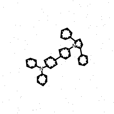 c1ccc(-c2ccc(-c3ccccc3)n2-c2ccc(-c3ccc(N(c4ccccc4)c4ccccc4)cc3)cc2)cc1